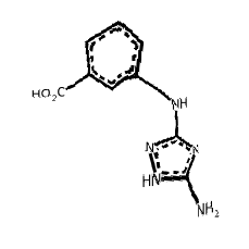 Nc1nc(Nc2cccc(C(=O)O)c2)n[nH]1